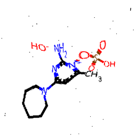 Cc1cc(N2CCCCCC2)nc(N)[n+]1OS(=O)(=O)O.[OH-]